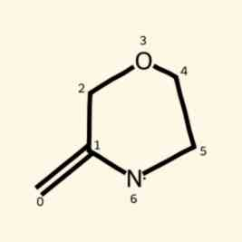 C=C1COCC[N]1